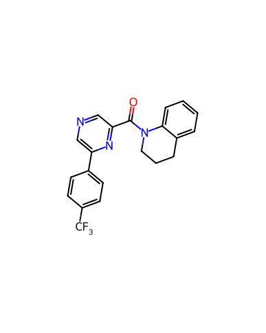 O=C(c1cncc(-c2ccc(C(F)(F)F)cc2)n1)N1CCCc2ccccc21